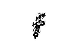 Cc1ccc(S(=O)(=O)n2cc(-c3ccccn3)c3c(N4CCN(C(=O)OC(C)(C)C)C(C)C4)ncnc32)cc1